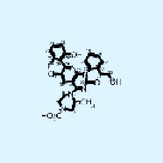 C[C@H]1CN(C(=O)O)CCN1c1nc(=O)n(-c2ccccc2CCO)c2nc(-c3c(O)cccc3F)c(Cl)cc12